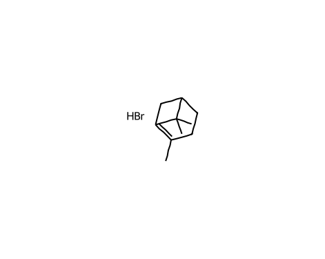 Br.CC1=C2CC(CC1)C2(C)C